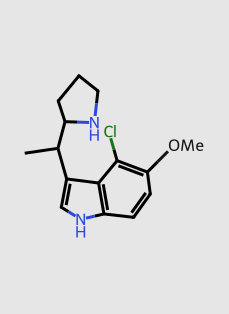 COc1ccc2[nH]cc(C(C)C3CCCN3)c2c1Cl